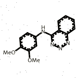 COc1ccc(Nc2nnnc3ccccc23)cc1OC